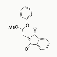 COC(CN1C(=O)c2ccccc2C1=O)Oc1ccccc1